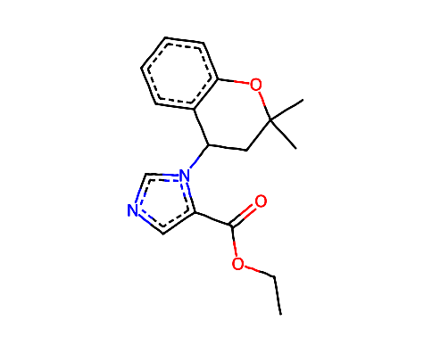 CCOC(=O)c1cncn1C1CC(C)(C)Oc2ccccc21